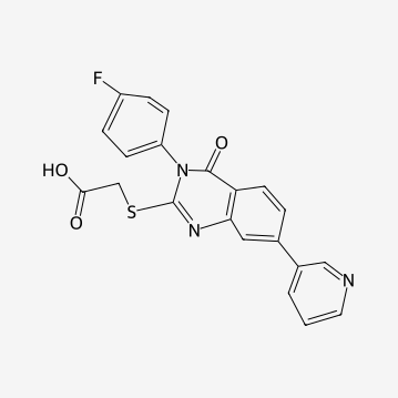 O=C(O)CSc1nc2cc(-c3cccnc3)ccc2c(=O)n1-c1ccc(F)cc1